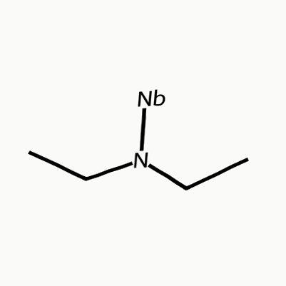 CC[N]([Nb])CC